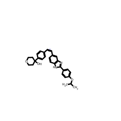 CC(C)Oc1ccc(-c2nc3cc(/C=C\c4ccc(C5(O)CCOCC5)cc4)ccc3[nH]2)cc1